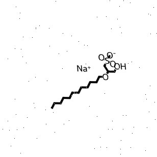 CCCCCCCCCCCCOC(CO)CS(=O)(=O)[O-].[Na+]